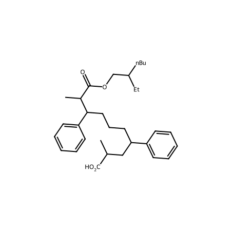 CCCCC(CC)COC(=O)C(C)C(CCCC(CC(C)C(=O)O)c1ccccc1)c1ccccc1